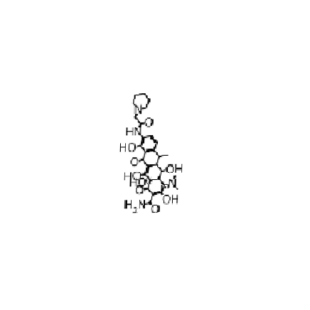 CC1c2ccc(NC(=O)CN3CCCCC3)c(O)c2C(=O)C2=C(O)[C@]3(O)C(=O)C(C(N)=O)=C(O)[C@@H](N(C)C)C3C(O)C21